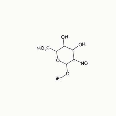 CC(C)OC1OC(C(=O)O)C(O)C(O)C1N=O